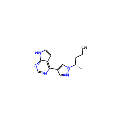 C[C@@H](CCC#N)n1cc(-c2ncnc3[nH]ccc23)cn1